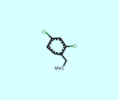 CSCc1ccc(Cl)cc1Cl